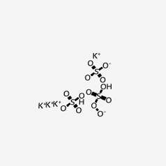 O=S(=O)(O)O[O-].O=S(=O)([O-])O.O=S(=O)([O-])[O-].[K+].[K+].[K+].[K+]